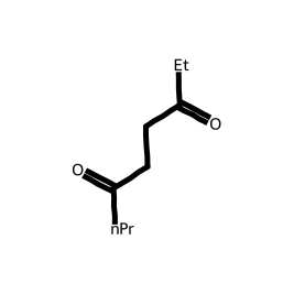 [CH2]CCC(=O)CCC(=O)CC